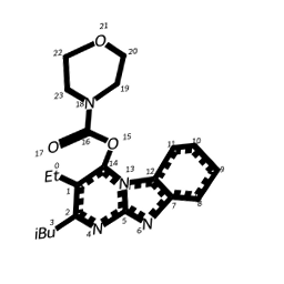 CCc1c(C(C)CC)nc2nc3ccccc3n2c1OC(=O)N1CCOCC1